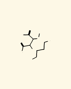 COC(C(=O)O)C(O)C(=O)O.OCCCCO